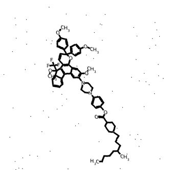 CCCCCC(C)CCCC1CCC(C(=O)Oc2ccc(N3CCN(c4cc5c6c(c7c(c5cc4OC)OC(c4ccc(OC)cc4)(c4ccc(OC)cc4)C=C7)C(OC)(C(F)(F)F)c4ccccc4-6)CC3)cc2)CC1